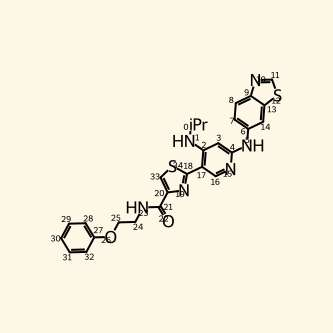 CC(C)Nc1cc(Nc2ccc3ncsc3c2)ncc1-c1nc(C(=O)NCCOc2ccccc2)cs1